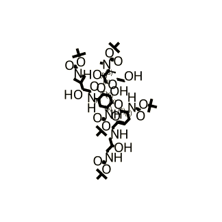 C[C@@H]([C@@H](O)[C@H](OCCO)O[C@@H]1[C@@H](O)[C@H](O[C@H]2OC(CNCC(O)CNC(=O)OC(C)(C)C)=CC[C@H]2NC(=O)OC(C)(C)C)[C@@H](NC(=O)OC(C)(C)C)C[C@H]1NC(=O)C(O)C1CN(C(=O)OC(C)(C)C)C1)N(C)C(=O)OC(C)(C)C